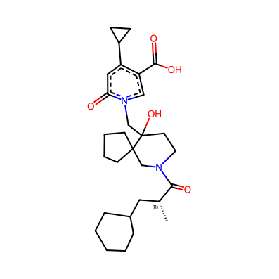 C[C@H](CC1CCCCC1)C(=O)N1CCC(O)(Cn2cc(C(=O)O)c(C3CC3)cc2=O)C2(CCCC2)C1